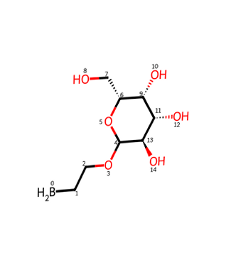 BCCOC1O[C@H](CO)[C@H](O)[C@H](O)[C@H]1O